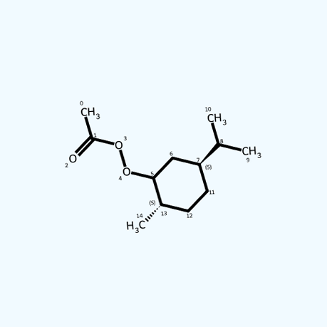 CC(=O)OOC1C[C@@H](C(C)C)CC[C@@H]1C